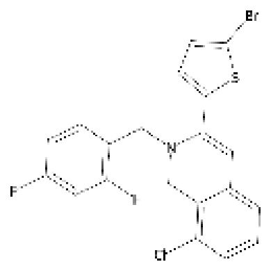 Fc1ccc(CN2Cc3c(Cl)cccc3C=C2c2ccc(Br)s2)c(F)c1